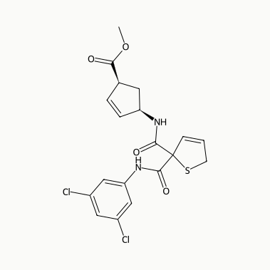 COC(=O)[C@@H]1C=C[C@H](NC(=O)C2(C(=O)Nc3cc(Cl)cc(Cl)c3)C=CCS2)C1